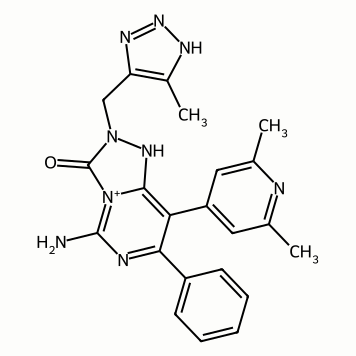 Cc1cc(-c2c(-c3ccccc3)nc(N)[n+]3c(=O)n(Cc4nn[nH]c4C)[nH]c23)cc(C)n1